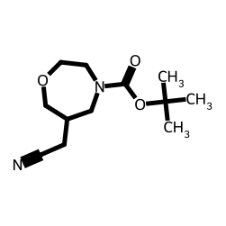 CC(C)(C)OC(=O)N1CCOCC(CC#N)C1